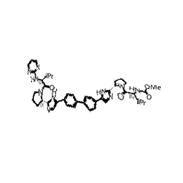 COC(=O)N[C@H](C(=O)N1CCC[C@H]1c1ncc(-c2ccc(-c3ccc(-c4cnc([C@@H]5CCCN5C(=O)[C@@H](Nc5ncccn5)C(C)C)[nH]4)cc3)cc2)[nH]1)C(C)C